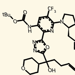 C=CCCC(O)(c1nnc(-c2nc(N3CCC[C@H]3CC=C)c(C(F)(F)F)cc2NC(=O)OC(C)(C)C)o1)C1CCOCC1